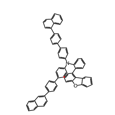 c1ccc(N(c2ccc(-c3ccc(-c4ccc5ccccc5c4)cc3)cc2)c2ccc(-c3ccc(-c4cccc5ccccc45)cc3)cc2)c(-c2cccc3oc4ccccc4c23)c1